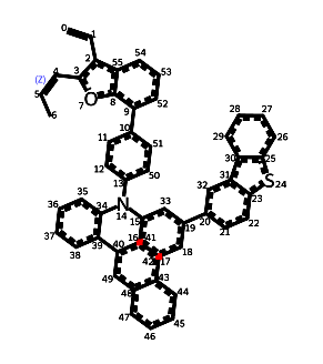 C=Cc1c(/C=C\C)oc2c(-c3ccc(N(c4cccc(-c5ccc6sc7ccccc7c6c5)c4)c4ccccc4-c4ccc5ccccc5c4)cc3)cccc12